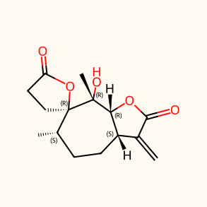 C=C1C(=O)O[C@@H]2[C@H]1CC[C@H](C)[C@]1(CCC(=O)O1)[C@]2(C)O